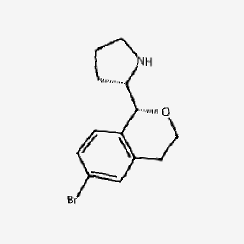 Brc1ccc2c(c1)CCO[C@H]2[C@@H]1CCCN1